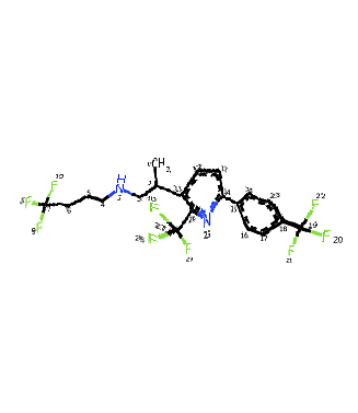 CC(CNCCCC(F)(F)F)c1ccc(-c2ccc(C(F)(F)F)cc2)nc1C(F)(F)F